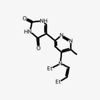 CC/C=C\N(CC)c1cc(-c2c[nH]c(=O)[nH]c2=O)nnc1C